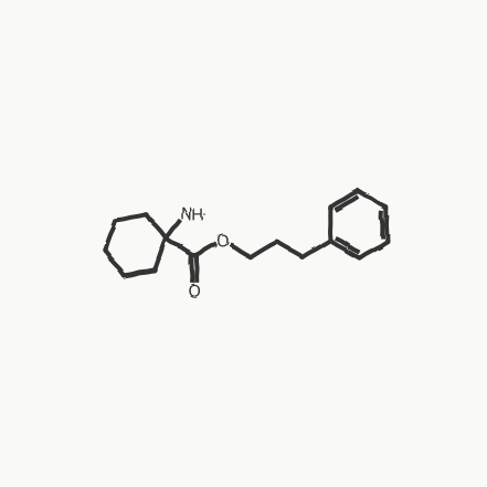 [NH]C1(C(=O)OCCCc2ccccc2)CCCCC1